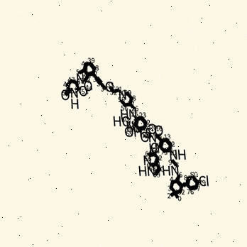 CC1(C)CCC(CNCCNc2ccc(C(=O)NS(=O)(=O)c3ccc(NCC4CCN(CCOCC#Cc5cccc6c5C(=O)N(C5CCC(=O)NC5=O)C6)CC4)c(N(O)O)c3)c(Oc3cnc4[nH]ccc4c3)c2)=C(c2ccc(Cl)cc2)C1